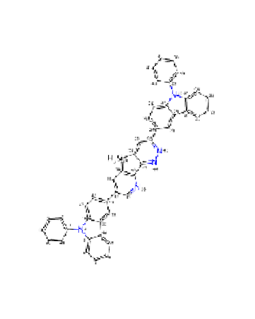 c1ccc(-n2c3ccccc3c3cc(-c4cnc5c(c4)[SiH2]c4cc(-c6ccc7c(c6)c6ccccc6n7-c6ccccc6)nnc4-5)ccc32)cc1